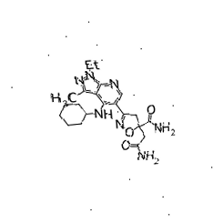 CCn1nc(C)c2c(NC3CCCCC3)c(C3=NOC(CC(N)=O)(C(N)=O)C3)cnc21